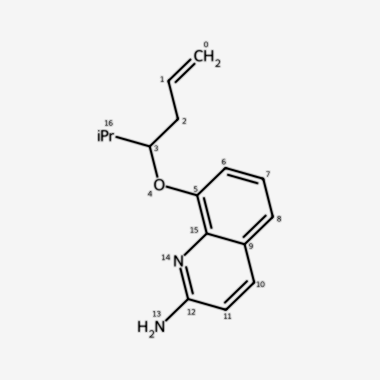 C=CCC(Oc1cccc2ccc(N)nc12)C(C)C